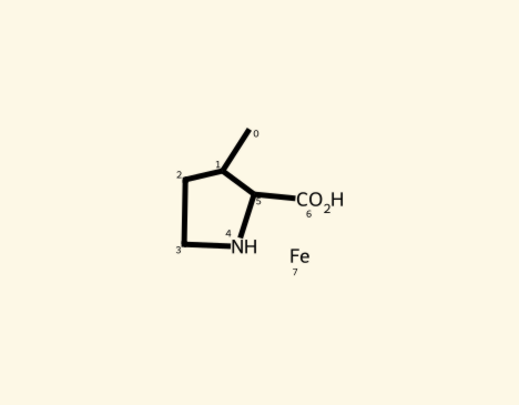 CC1CCNC1C(=O)O.[Fe]